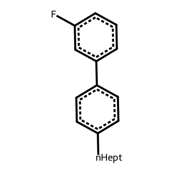 CCCCCCCc1ccc(-c2cccc(F)c2)cc1